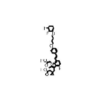 Cc1c(CC2(CC(=O)O)CC2)c2c(F)ccc(C=Cc3ccc(OCCCCOc4cccc(F)c4F)cc3)c2n1CC(=O)O